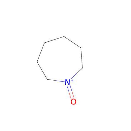 O=[N+]1CCCCCC1